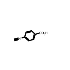 C#[N+]c1ccc(C(=O)O)cc1